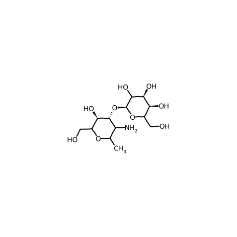 CC1OC(CO)[C@@H](O)[C@H](O[C@@H]2OC(CO)[C@H](O)[C@H](O)C2O)C1N